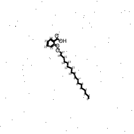 CCCCCCCCCCCCCCCCCCOOc1ccccc1C(=O)O